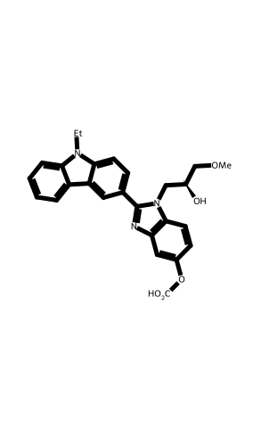 CCn1c2ccccc2c2cc(-c3nc4cc(OC(=O)O)ccc4n3C[C@H](O)COC)ccc21